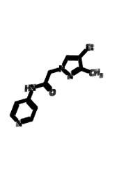 CCc1cn(CC(=O)Nc2ccncc2)nc1C